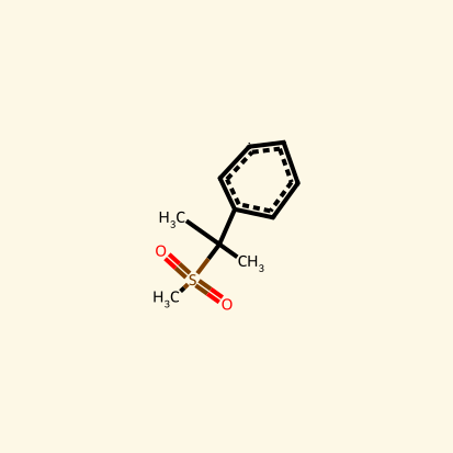 CC(C)(c1c[c]ccc1)S(C)(=O)=O